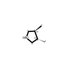 C[C@@H]1CNC[C@H]1C